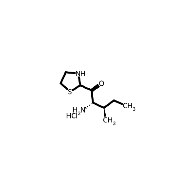 CC[C@@H](C)[C@H](N)C(=O)C1NCCS1.Cl